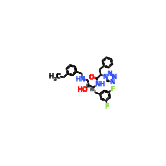 CCc1cccc(CNC[C@H](O)[C@@H](Cc2cc(F)cc(F)c2)NC(=O)C(Cc2ccccc2)n2cnnn2)c1